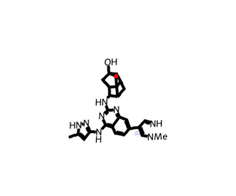 CN/C=C(\C=N)c1ccc2c(Nc3cc(C)[nH]n3)nc(NC3C4CC5CC3CC(O)(C5)C4)nc2c1